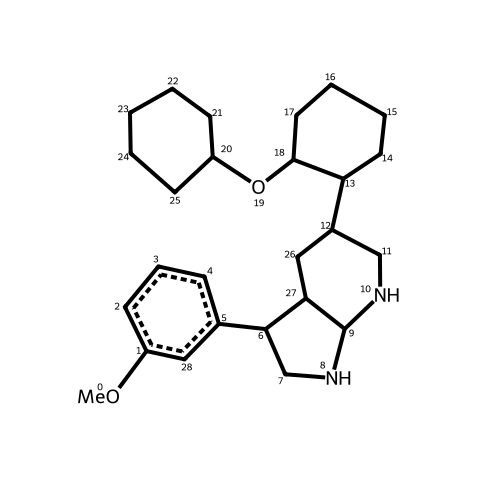 COc1cccc(C2CNC3NCC(C4CCCCC4OC4CCCCC4)CC32)c1